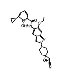 CCOc1cc2nn(C3CCC(O)(CC#N)CC3)cc2cc1NC(=O)c1cccc(C2CC2)[n+]1O